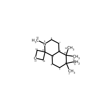 BC1(C)CCC2C(CCN(C)C23COC3)C1(C)C